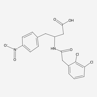 O=C(O)CC(Cc1ccc([N+](=O)[O-])cc1)NC(=O)Cc1cccc(Cl)c1Cl